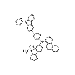 CC1(C)c2ccccc2-c2ccc(N(c3ccc(-c4ccc5c(c4)c4ccccc4n5-c4ccccc4)cc3)c3cccc4c3ccc3ccccc34)cc21